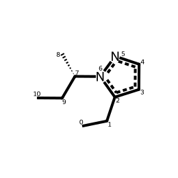 CCc1ccnn1[C@@H](C)CC